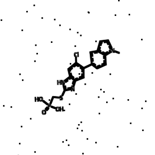 Cn1ccc2cc(-c3cc4nc(SCP(=O)(O)O)[nH]c4cc3Cl)ccc21